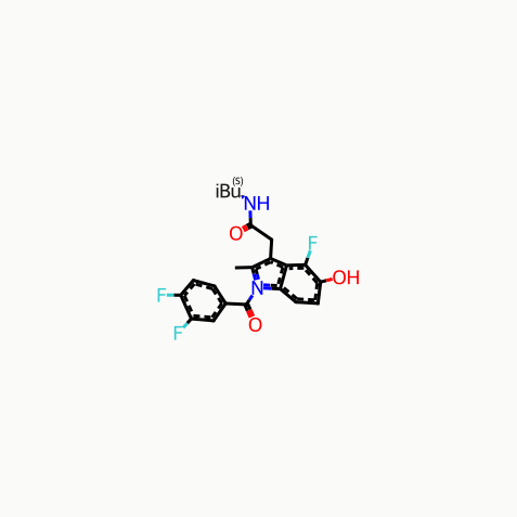 CC[C@H](C)NC(=O)Cc1c(C)n(C(=O)c2ccc(F)c(F)c2)c2ccc(O)c(F)c12